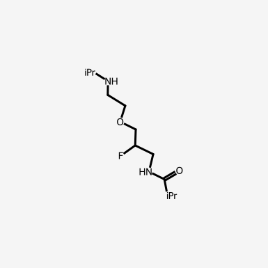 CC(C)NCCOCC(F)CNC(=O)C(C)C